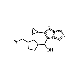 CC(C)CC1CCC(C(O)c2c(C3CC3)sc3cncn23)C1